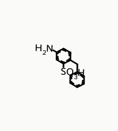 Nc1ccc(Cc2ccccc2)c(S(=O)(=O)O)c1